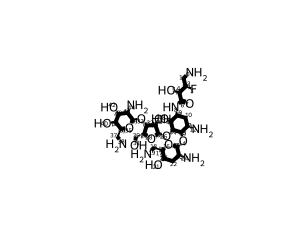 NC[C@@H](F)[C@H](O)C(=O)N[C@@H]1C[C@H](N)[C@@H](O[C@H]2O[C@H](CN)[C@H](O)C[C@H]2N)[C@H](O[C@@H]2O[C@H](CO)[C@@H](O[C@H]3O[C@@H](CN)[C@@H](O)[C@H](O)[C@H]3N)[C@H]2O)[C@H]1O